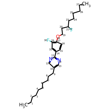 CCCCCCCCCCc1cnc(-c2ccc(OCCC(F)CCCCCC)c(F)c2)nc1